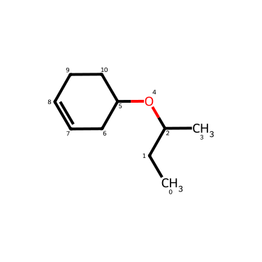 CCC(C)OC1CC=CCC1